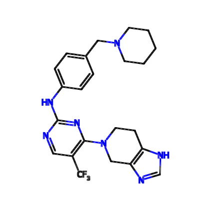 FC(F)(F)c1cnc(Nc2ccc(CN3CCCCC3)cc2)nc1N1CCc2[nH]cnc2C1